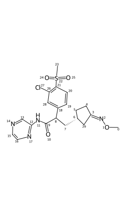 CO/N=C1/CC[C@@H](CC(C(=O)Nc2cnccn2)c2ccc(S(C)(=O)=O)c(Cl)c2)C1